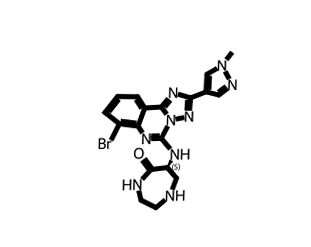 Cn1cc(-c2nc3c4cccc(Br)c4nc(N[C@H]4CNCCNC4=O)n3n2)cn1